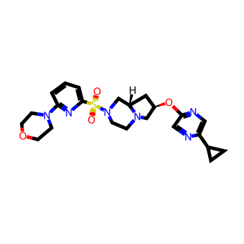 O=S(=O)(c1cccc(N2CCOCC2)n1)N1CCN2C[C@H](Oc3cnc(C4CC4)cn3)C[C@H]2C1